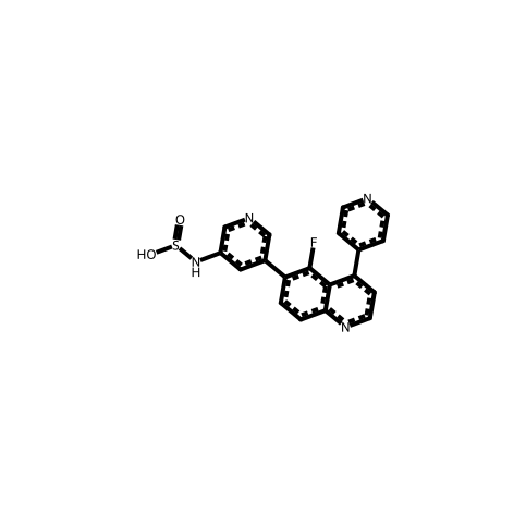 O=S(O)Nc1cncc(-c2ccc3nccc(-c4ccncc4)c3c2F)c1